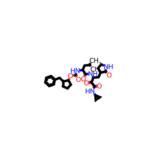 CC(C)CC(NC(=O)OC1CCCC1Cc1ccccc1)C(=O)NC(CC1CCNC1=O)C(=O)C(=O)NC1CC1